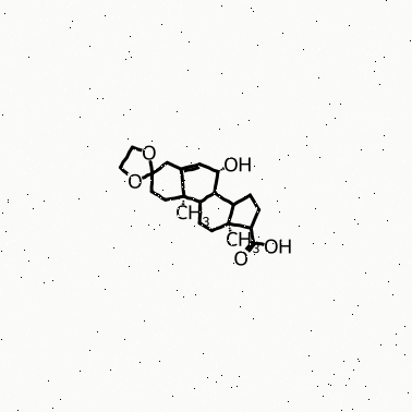 C[C@]12CCC3C(C1CCC2C(=O)O)[C@@H](O)C=C1CC2(CC[C@@]13C)OCCO2